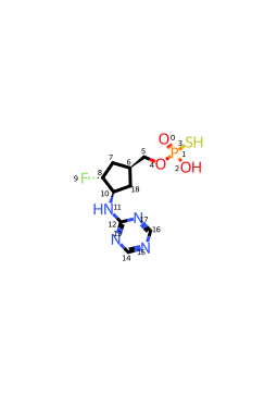 O=P(O)(S)OC[C@@H]1C[C@@H](F)[C@H](Nc2ncncn2)C1